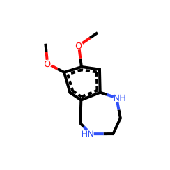 COc1cc2c(cc1OC)NCCNC2